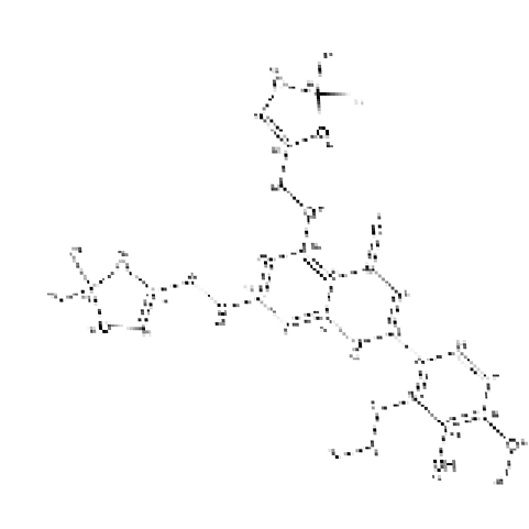 CCCc1c(-c2cc(=O)c3c(OCC4=COC(C)(C)O4)cc(OCC4=COC(C)(C)O4)cc3o2)ccc(OC)c1O